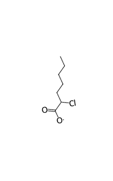 CCCCCC(Cl)C([O])=O